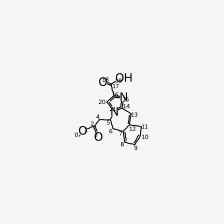 COC(=O)CC1CC2=CC=CCC2=Cc2nc(C(=O)O)cn21